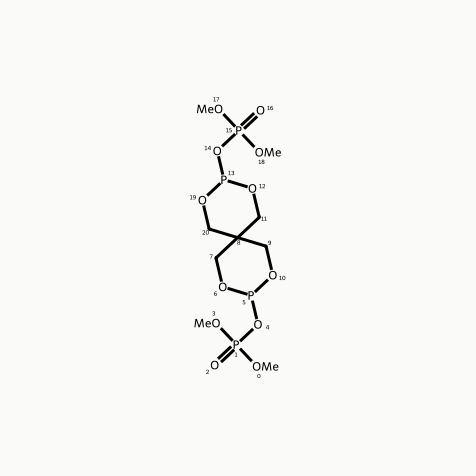 COP(=O)(OC)OP1OCC2(CO1)COP(OP(=O)(OC)OC)OC2